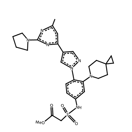 COC(=O)CS(=O)(=O)Nc1ccc(-n2cc(-c3cc(C)nc(N4CCCC4)n3)cn2)c(N2CCC3(CC2)CC3)c1